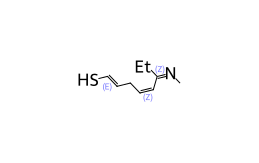 CCC(/C=C\C/C=C/S)=N/C